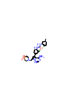 Cc1ccc(F)c(NC(=O)Nc2ccc(-c3cc(CN4CCS(=O)(=O)CC4)n4ncnc(N)c34)cc2F)c1